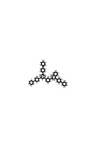 c1ccc(-c2ccc(-c3cc(-c4cccc(-c5nc(-c6ccc(-c7ccccc7)cc6)c6ccccc6n5)c4)nc(-c4ccc(-c5ccccc5)cc4)n3)cc2)cc1